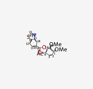 COc1ccc(C(C)=O)c(OC(=O)c2ccc3scnc3c2)c1OC